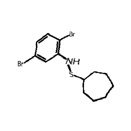 Brc1ccc(Br)c(NSC2CCCCCC2)c1